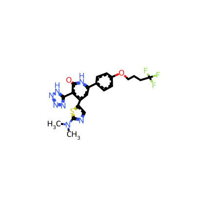 CN(C)c1ncc(-c2cc(-c3ccc(OCCCC(F)(F)F)cc3)[nH]c(=O)c2-c2nnn[nH]2)s1